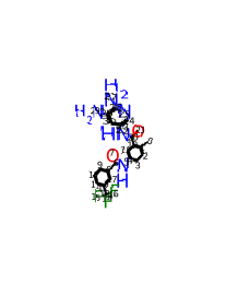 Cc1ccc(NC(=O)c2cccc(C(F)(F)F)c2)cc1C(=O)Nc1cnc(N)c(N)c1